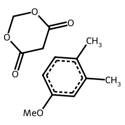 COc1ccc(C)c(C)c1.O=C1CC(=O)OCO1